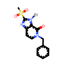 CCn1c(S(C)(=O)=O)nc2ccn(Cc3ccccc3)c(=O)c21